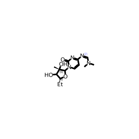 CC[C@H]1OC(n2ccc(/N=C\N(C)C)nc2=O)[C@@](C)(O)C1O